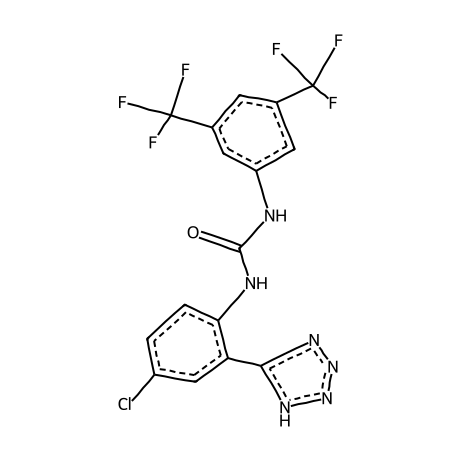 O=C(Nc1cc(C(F)(F)F)cc(C(F)(F)F)c1)Nc1ccc(Cl)cc1-c1nnn[nH]1